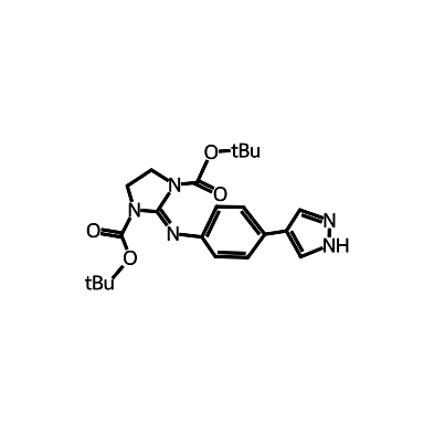 CC(C)(C)OC(=O)N1CCN(C(=O)OC(C)(C)C)C1=Nc1ccc(-c2cn[nH]c2)cc1